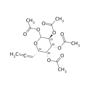 C=C=C[C@@H]1OC(OC(C)=O)[C@@H](OC(C)=O)[C@H](OC(C)=O)[C@@H]1OC(C)=O